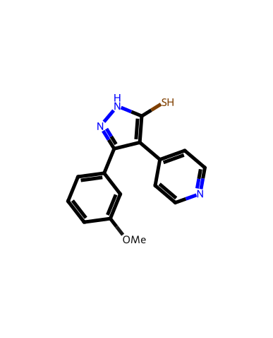 COc1cccc(-c2n[nH]c(S)c2-c2ccncc2)c1